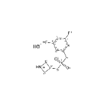 Cl.O=S(=O)(Cc1cc(F)cc(F)c1)CC1CNC1